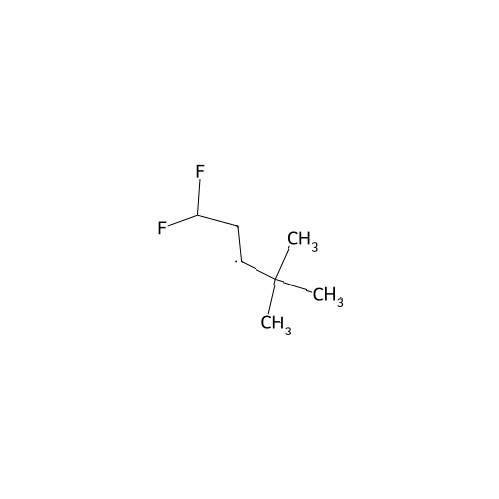 CC(C)(C)[CH]CC(F)F